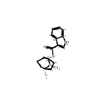 CN1[C@@H]2CCC[C@@]1(OC(=O)c1c[nH]c3ccccc13)CC2